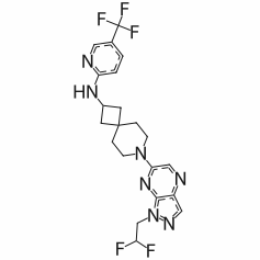 FC(F)Cn1ncc2ncc(N3CCC4(CC3)CC(Nc3ccc(C(F)(F)F)cn3)C4)nc21